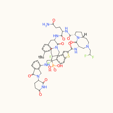 CC(C)(C)c1ccc(CC(NC(=O)C(CCC(N)=O)NC(=O)[C@@H]2CC[C@@H]3CCN(CC(F)F)C[C@H](NC(=O)c4cc5cc(C(F)(F)P(=O)(O)O)ccc5s4)C(=O)N32)C(=O)N2CCC(CCNc3cccc4c3CN(C3CCC(=O)NC3=O)C4=O)CC2)cc1